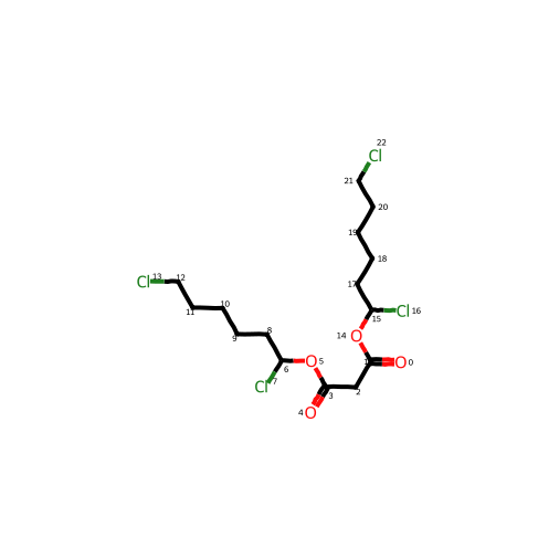 O=C(CC(=O)OC(Cl)CCCCCCl)OC(Cl)CCCCCCl